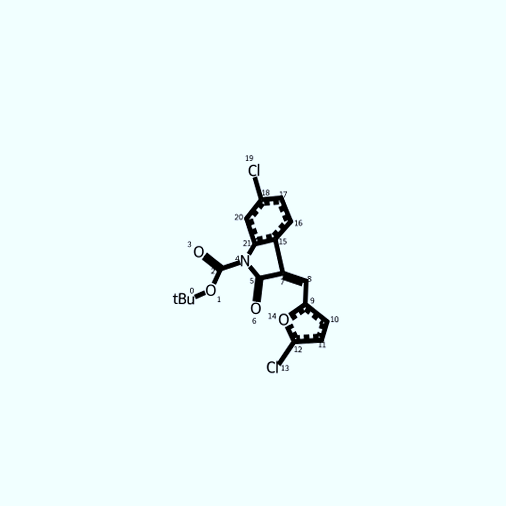 CC(C)(C)OC(=O)N1C(=O)C(=Cc2ccc(Cl)o2)c2ccc(Cl)cc21